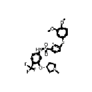 COc1ccc(Sc2ccc(S(=O)(=O)Nc3ccc(C(F)(F)F)c(O[C@@H]4CCN(C)C4)c3)s2)cc1OC